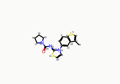 Cc1csc2ccc(-n3ccs/c3=N\C(=O)N3CCCC3)cc12